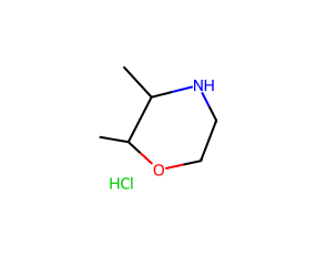 CC1NCCOC1C.Cl